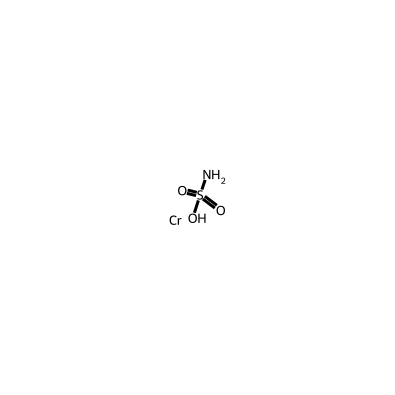 NS(=O)(=O)O.[Cr]